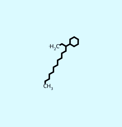 [CH2]CC(CCCCCCCCCCC)C1CCCCC1